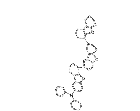 c1ccc(N(c2ccccc2)c2ccc3oc4c(-c5ccc6oc7ccc(-c8cccc9c8oc8ccccc89)cc7c6c5)cccc4c3c2)cc1